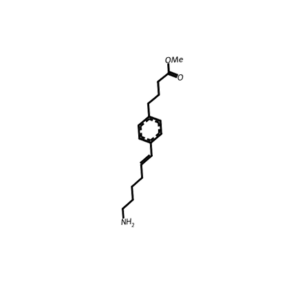 COC(=O)CCCc1ccc(C=CCCCCN)cc1